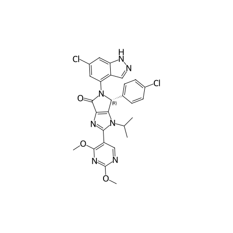 COc1ncc(-c2nc3c(n2C(C)C)[C@@H](c2ccc(Cl)cc2)N(c2cc(Cl)cc4[nH]ncc24)C3=O)c(OC)n1